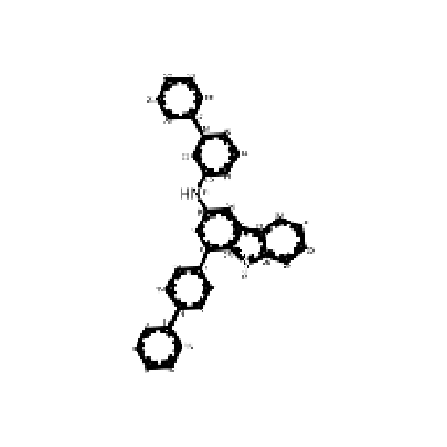 c1ccc(-c2ccc(-c3cc(Nc4cccc(-c5ccccc5)c4)cc4c3sc3ccccc34)cc2)cc1